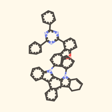 C1=Cc2c(c3c4ccccc4c4c5ccccc5n(-c5ccc6c(c5)oc5cccc(-c7nc(-c8ccccc8)nc(-c8ccccc8)n7)c56)c4c3n2-c2ccccc2)CC1